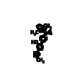 Cn1cc(-c2ccc(-c3cnc(N(C4CC4)[C@H]4C[C@]5(C)CC[C@@](C)(N5)[C@H]4F)cn3)c(O)c2)cn1